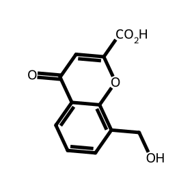 O=C(O)c1cc(=O)c2cccc(CO)c2o1